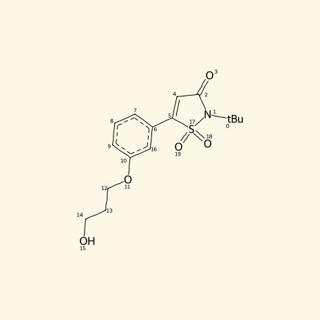 CC(C)(C)N1C(=O)C=C(c2cccc(OCCCO)c2)S1(=O)=O